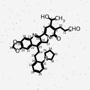 CC(O)c1cc2n(c(=O)c1CCC=O)Cc1c-2nc2cc3c(cc2c1CCc1ccccc1N1CCCC1)OCO3